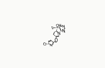 OC(c1cncnc1)(c1ccc(Oc2ccc(Cl)nc2)cn1)C1CC1